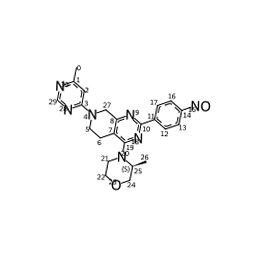 Cc1cc(N2CCc3c(nc(-c4ccc(N=O)cc4)nc3N3CCOC[C@@H]3C)C2)ncn1